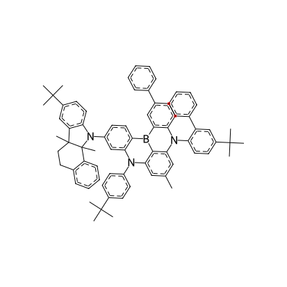 Cc1cc2c3c(c1)N(c1ccc(C(C)(C)C)cc1-c1ccccc1)c1ccc(-c4ccccc4)cc1B3c1ccc(N3c4ccc(C(C)(C)C)cc4C4(C)CCc5ccccc5C34C)cc1N2c1ccc(C(C)(C)C)cc1